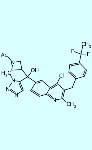 CC(=O)N1CC(C(O)(c2ccc3nc(C)c(Cc4ccc(C(C)(F)F)cc4)c(Cl)c3c2)c2cnnn2C)C1